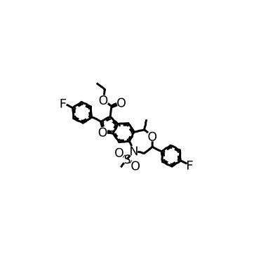 CCOC(=O)c1c(-c2ccc(F)cc2)oc2cc3c(cc12)C(C)OC(c1ccc(F)cc1)CN3S(C)(=O)=O